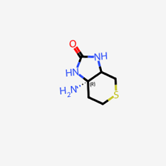 N[C@@]12CCSCC1NC(=O)N2